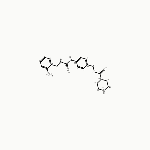 Cc1ccccc1CNC(=O)Oc1ccc(CSC(=O)N2CCNCC2)cc1